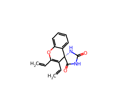 C=CC1=C(C=C)[C@@]2(NC(=O)NC2=O)c2ccccc2O1